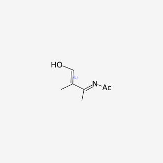 CC(=O)N=C(C)/C(C)=C/O